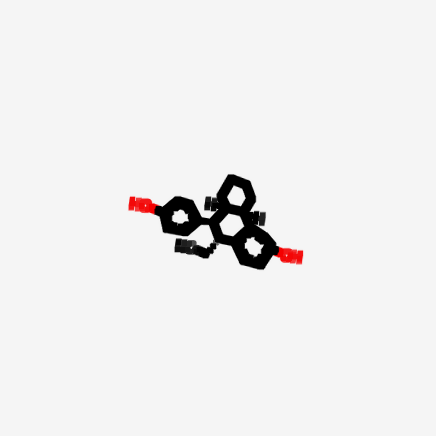 N#CC[C@H]1c2ccc(O)cc2[C@@H]2CCCC[C@@H]2[C@@H]1c1ccc(O)cc1